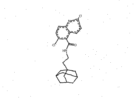 O=C(NCCC12CC3CC(CC(C3)C1)C2)c1c(Cl)ccc2nc(Cl)ccc12